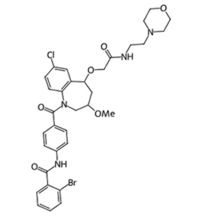 COC1CC(OCC(=O)NCCN2CCOCC2)c2cc(Cl)ccc2N(C(=O)c2ccc(NC(=O)c3ccccc3Br)cc2)C1